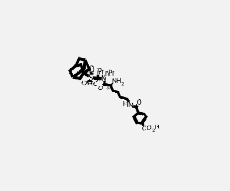 CCCN(C(=O)[C@@H](N)CCCCNC(=O)c1ccc(C(=O)O)cc1)[C@](C=O)(C(C)C)S(=O)(=O)C12CC3CC(CC(C3)C1)C2